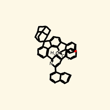 C[Si]1(C)c2ccccc2-c2ccc3c(c21)-c1c(-c2cc(-c4ccccc4)cc(-c4cccc5ccccc45)n2)cccc1C31C2CC3CC(C2)CC1C3